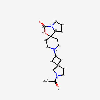 COC(=O)N1CCC2(CC(N3CCC4(CC3)OC(=O)N3CCCC34)C2)C1